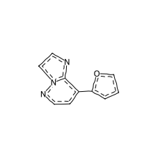 c1coc(-c2ccnn3ccnc23)c1